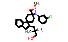 COC(=O)C1(Nc2cccc(Cl)c2)CCC2(CC1)C(CC(C)(C)CO)=Cc1ccccc12